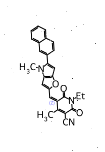 CCN1C(=O)C(C#N)=C(C)/C(=C/c2cc3c(cc(-c4ccc5ccccc5c4)n3C)o2)C1=O